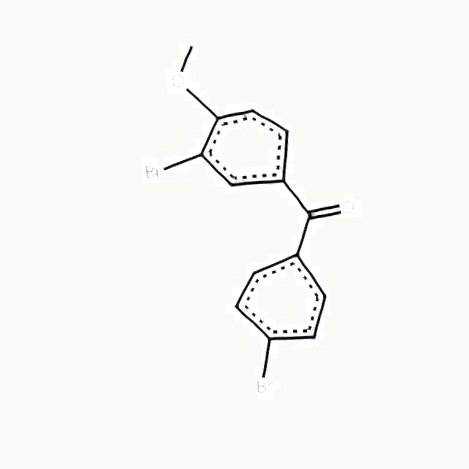 COc1ccc(C(=O)c2ccc(Br)cc2)cc1Br